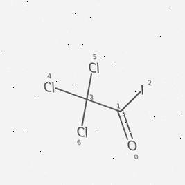 O=C(I)C(Cl)(Cl)Cl